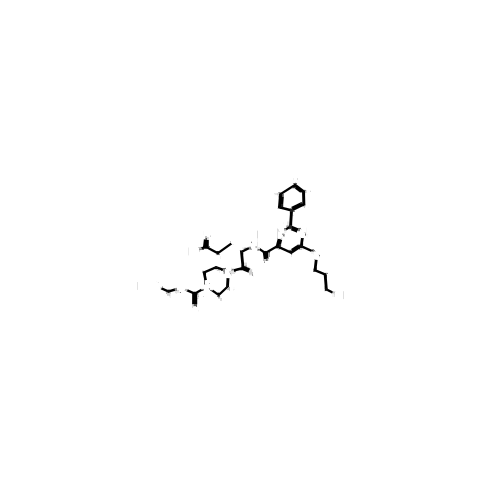 CCCCNc1cc(C(=O)N[C@@H](CCC(=O)O)C(=O)N2CCN(C(=O)OCC)CC2)nc(-c2ccccc2)n1